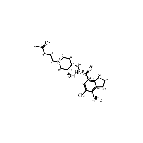 CC(=O)CCCN1CC[C@H](CNC(=O)c2cc(Cl)c(N)c3c2OCC3)[C@H](O)C1